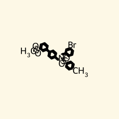 Cc1ccc(S(=O)(=O)N(Cc2ccc(-c3cccc(S(C)(=O)=O)c3)cc2)Cc2cccc(Br)c2)cc1